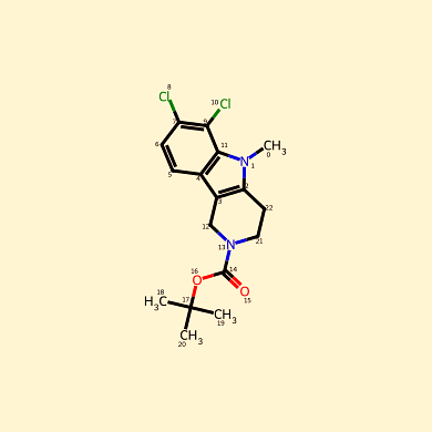 Cn1c2c(c3ccc(Cl)c(Cl)c31)CN(C(=O)OC(C)(C)C)CC2